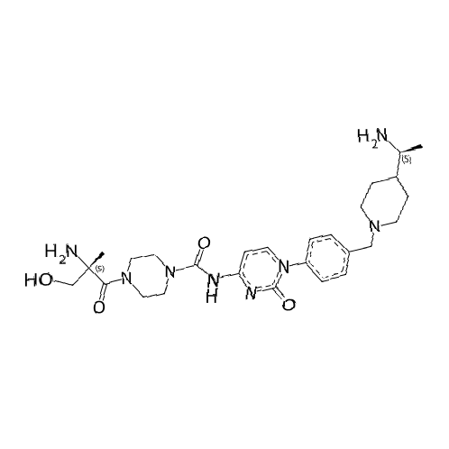 C[C@H](N)C1CCN(Cc2ccc(-n3ccc(NC(=O)N4CCN(C(=O)[C@@](C)(N)CO)CC4)nc3=O)cc2)CC1